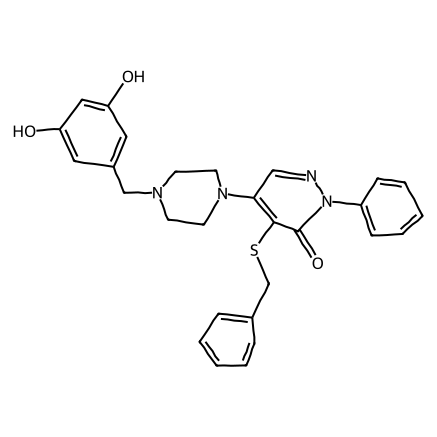 O=c1c(SCc2ccccc2)c(N2CCN(Cc3cc(O)cc(O)c3)CC2)cnn1-c1ccccc1